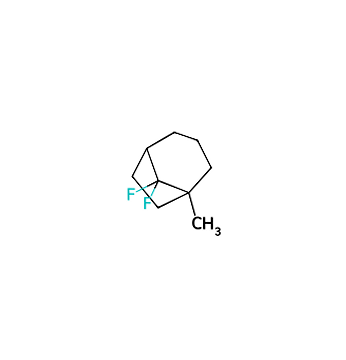 CC12CCCC(CC1)C2(F)F